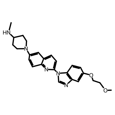 CNC1CCN(c2ccc3nc(-n4cnc5cc(OCCOC)ccc54)ccc3c2)CC1